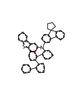 c1ccc(-c2ccccc2-c2ccccc2-c2ccccc2N(c2ccc3c(c2)-c2ccccc2C32CCCC2)c2ccc3sc4ccccc4c3c2)cc1